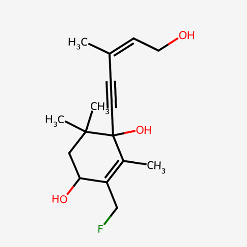 CC1=C(CF)C(O)CC(C)(C)C1(O)C#C/C(C)=C\CO